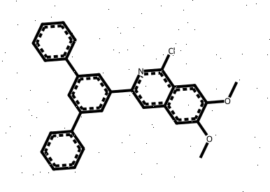 COc1cc2cc(-c3cc(-c4ccccc4)cc(-c4ccccc4)c3)nc(Cl)c2cc1OC